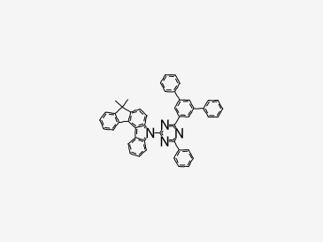 CC1(C)c2ccccc2-c2c1ccc1c2c2ccccc2n1-c1nc(-c2ccccc2)nc(-c2cc(-c3ccccc3)cc(-c3ccccc3)c2)n1